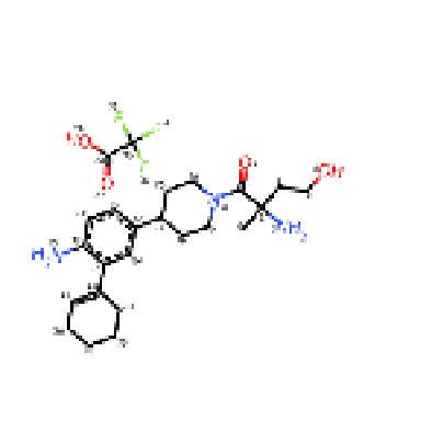 CC(N)(CCO)C(=O)N1CCC(c2ccc(N)c(C3=CCCCC3)c2)CC1.O=C(O)C(F)(F)F